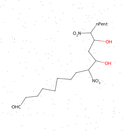 CCCCCC(C(O)CC(O)C(CCCCCCC[C]=O)[N+](=O)[O-])[N+](=O)[O-]